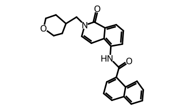 O=C(Nc1cccc2c(=O)n(CC3CCOCC3)ccc12)c1cccc2ccccc12